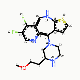 COCCC1CN(C2=c3ncc(F)c(F)c3=CNc3sccc32)CCN1